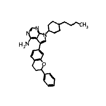 CCCC[C]1CCC(n2cc(-c3ccc4c(c3)OC(c3ccccc3)CC4)c3c(N)ncnc32)CC1